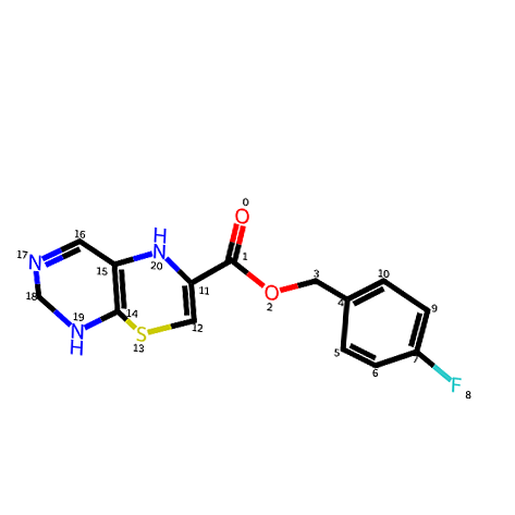 O=C(OCc1ccc(F)cc1)C1=CSC2=C(C=NCN2)N1